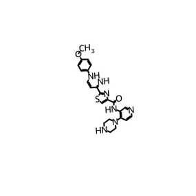 COc1ccc(N/C=C\C(=N)c2nc(C(=O)Nc3cnccc3N3CCNCC3)cs2)cc1